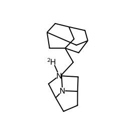 [2H]N1CC2CCC(C1)N2CCC12CC3CC(CC(C3)C1)C2